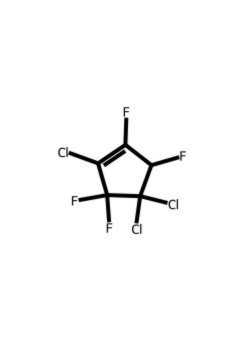 FC1=C(Cl)C(F)(F)C(Cl)(Cl)C1F